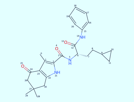 Cc1c(C(=O)N[C@@H](CCC2CC2)C(=O)Nc2ccccc2)[nH]c2c1C(=O)CC(C)(C)C2